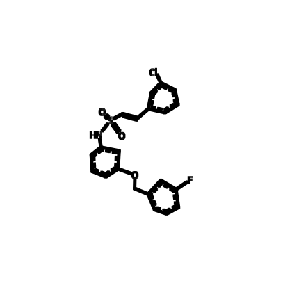 O=S(=O)(/C=C/c1cccc(Cl)c1)Nc1cccc(OCc2cccc(F)c2)c1